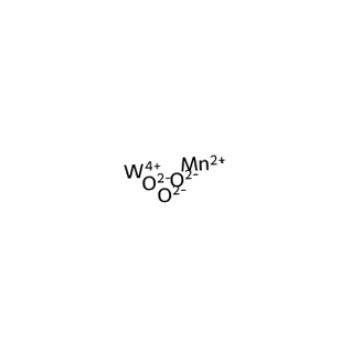 [Mn+2].[O-2].[O-2].[O-2].[W+4]